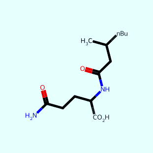 CCCCC(C)CC(=O)NC(CCC(N)=O)C(=O)O